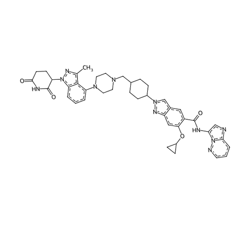 Cc1nn(C2CCC(=O)NC2=O)c2cccc(N3CCN(CC4CCC(n5cc6cc(C(=O)Nc7cnc8cccnn78)c(OC7CC7)cc6n5)CC4)CC3)c12